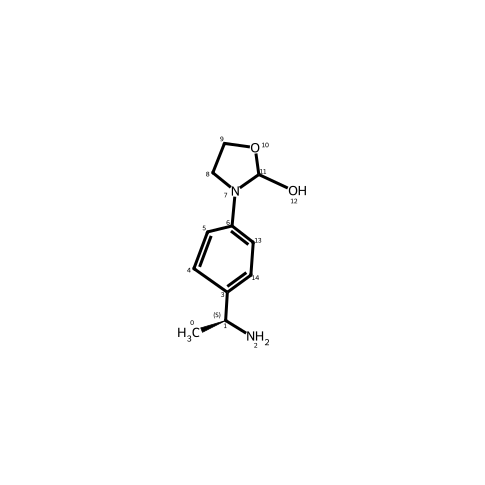 C[C@H](N)c1ccc(N2CCOC2O)cc1